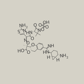 CC1(C)[C@H](NC(=O)/C(=N\O[C@](C)(C(=O)O)[C@H]2CCc3cc(C(=N)N[C@H]4CC[C@H](N)[C@H]5C[C@H]54)ccc3O2)c2csc(N)n2)C(=O)N1OS(=O)(=O)O